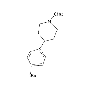 CC(C)(C)c1ccc(C2CCN(C=O)CC2)cc1